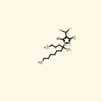 CCCCCCCC(C)(CCCC)n1nc(Cl)c(C(F)F)c1Br